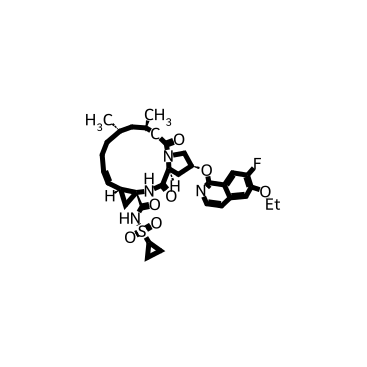 CCOc1cc2ccnc(O[C@@H]3C[C@H]4C(=O)N[C@]5(C(=O)NS(=O)(=O)C6CC6)C[C@H]5/C=C\CC[C@H](C)C[C@@H](C)CC(=O)N4C3)c2cc1F